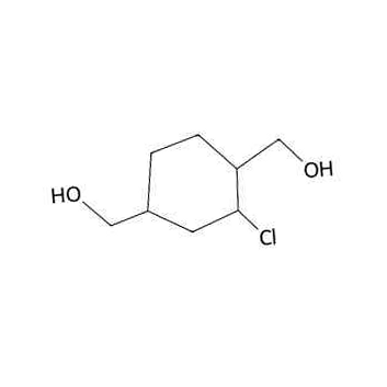 OCC1CCC(CO)C(Cl)C1